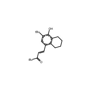 CCC(C)C(=O)C=Cc1cc(C(C)(C)C)c(O)c2c1CCCC2